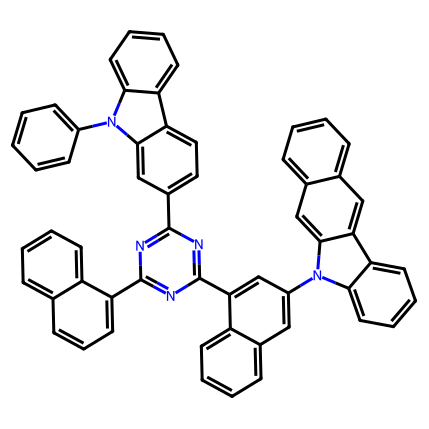 c1ccc(-n2c3ccccc3c3ccc(-c4nc(-c5cccc6ccccc56)nc(-c5cc(-n6c7ccccc7c7cc8ccccc8cc76)cc6ccccc56)n4)cc32)cc1